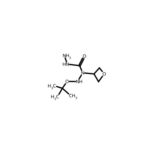 CC(C)(C)ONN(C(=O)NN)C1COC1